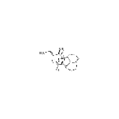 C=C(S)C1CCC/C(C2=CC=C([C@H](C)/C=C/C)C2)=C/CCC1(C)C